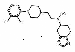 CCCN(CCN1CCN(c2cccc(Cl)c2Cl)CC1)C1CCc2ncsc2C1